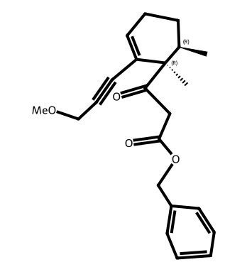 COCC#CC1=CCC[C@@H](C)[C@@]1(C)C(=O)CC(=O)OCc1ccccc1